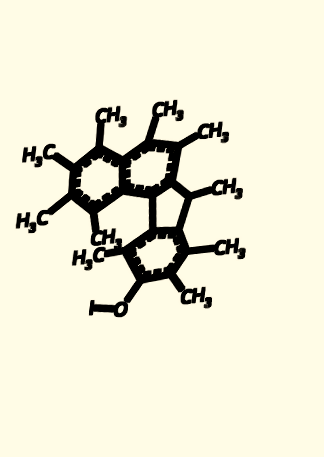 Cc1c(C)c2c(c(C)c1OI)-c1c(c(C)c(C)c3c(C)c(C)c(C)c(C)c13)C2C